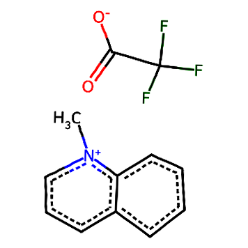 C[n+]1cccc2ccccc21.O=C([O-])C(F)(F)F